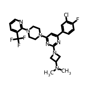 CN(C)C1CN(c2nc(-c3ccc(F)c(Cl)c3)cc(N3CCN(c4ncccc4C(F)(F)F)CC3)n2)C1